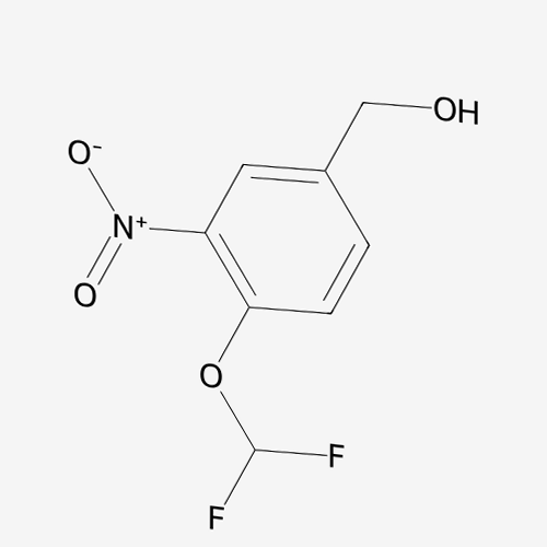 O=[N+]([O-])c1cc(CO)ccc1OC(F)F